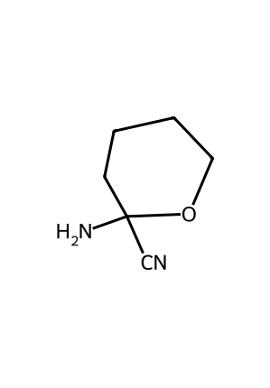 N#CC1(N)CCCCO1